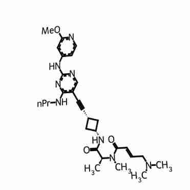 CCCNc1nc(Nc2ccnc(OC)c2)ncc1C#C[C@H]1C[C@@H](NC(=O)[C@H](C)N(C)C(=O)/C=C/CN(C)C)C1